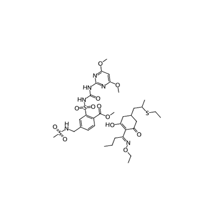 CCCC(=NOCC)C1=C(O)CC(CC(C)SCC)CC1=O.COC(=O)c1ccc(CNS(C)(=O)=O)cc1S(=O)(=O)NC(=O)Nc1nc(OC)cc(OC)n1